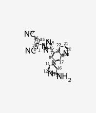 N#CC[C@]1(n2ncc(-c3cc(-c4ccnc(N)c4)cc4ncccc34)n2)C[C@H](C#N)C1